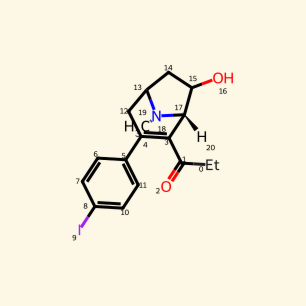 CCC(=O)C1=C(c2ccc(I)cc2)CC2CC(O)[C@H]1N2C